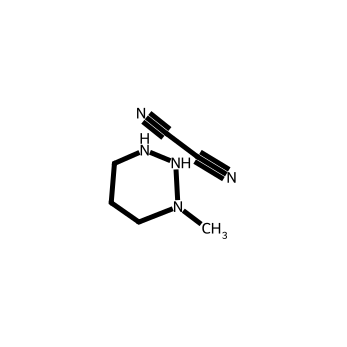 CN1CCCNN1.N#CC#N